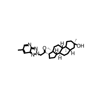 Cc1cnc2nn(CC(=O)[C@H]3CC[C@H]4[C@@H]5CC[C@@H]6C[C@](C)(O)CC[C@]6(C)[C@H]5CC[C@]34C)nc2c1